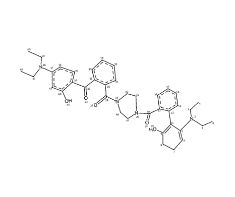 CCN(CC)C1=CC[CH]C(O)=C1c1ccccc1C(=O)N1CCN(C(=O)c2ccccc2C(=O)c2ccc(N(CC)CC)cc2O)CC1